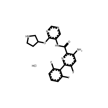 Cl.Nc1cc(F)c(-c2c(F)cccc2F)nc1C(=O)Nc1cncnc1OC1CCNC1